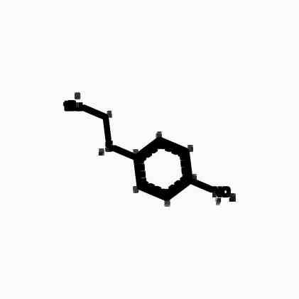 CC(C)(C)CSc1ccc([N+](=O)[O-])cc1